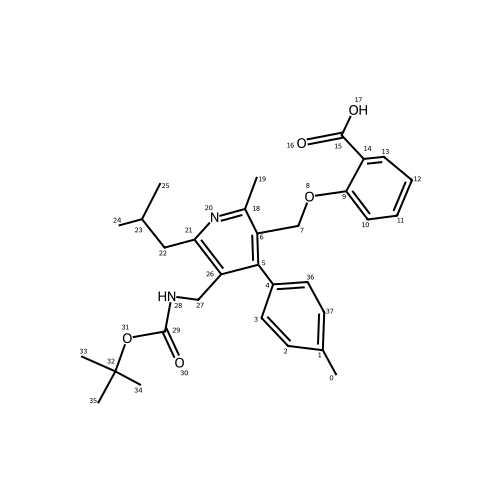 Cc1ccc(-c2c(COc3ccccc3C(=O)O)c(C)nc(CC(C)C)c2CNC(=O)OC(C)(C)C)cc1